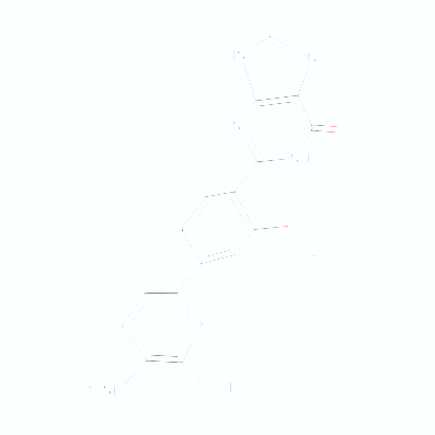 CCOc1cc(-c2ccc(NC(C)=O)c(C(=O)O)c2)ccc1-c1nc2[nH]cnc2c(=O)[nH]1